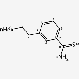 CCCCCCCCc1cccc(C(N)=S)c1